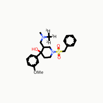 [2H]C([2H])([2H])N(C)CC1CN(S(=O)(=O)Cc2ccccc2)CCC1(O)c1cccc(OC)c1